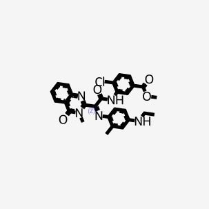 CCNc1ccc(/N=C(\C(=O)Nc2cc(C(=O)OC)ccc2Cl)c2nc3ccccc3c(=O)n2C)c(C)c1